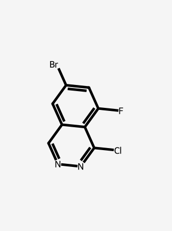 Fc1cc(Br)cc2cnnc(Cl)c12